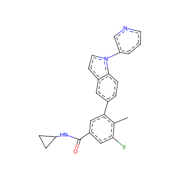 Cc1c(F)cc(C(=O)NC2CC2)cc1-c1ccc2c(ccn2-c2cccnc2)c1